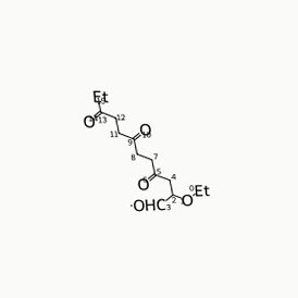 CCOC([C]=O)CC(=O)CCC(=O)CCC(=O)CC